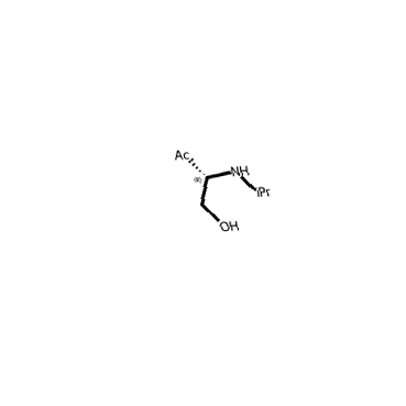 CC(=O)[C@@H](CO)NC(C)C